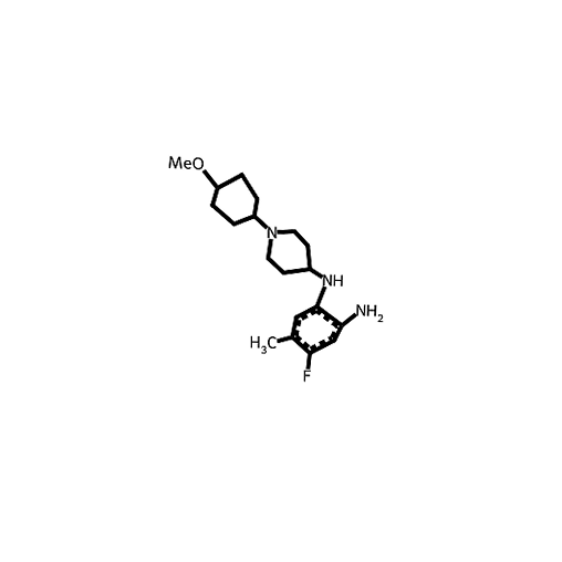 COC1CCC(N2CCC(Nc3cc(C)c(F)cc3N)CC2)CC1